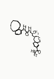 CCNC(=O)c1ccc2c(c1)CCCCC(CC(C)NC(=O)Nc1cccc3c1CCCCCCCC3)C2